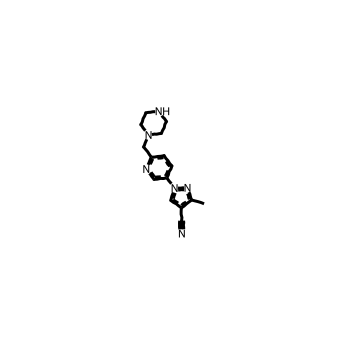 Cc1nn(-c2ccc(CN3CCNCC3)nc2)cc1C#N